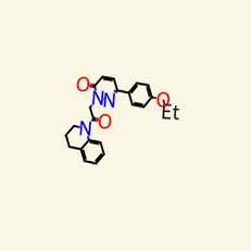 CCOc1ccc(-c2ccc(=O)n(CC(=O)N3CCCc4ccccc43)n2)cc1